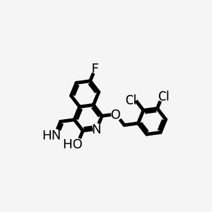 N=Cc1c(O)nc(OCc2cccc(Cl)c2Cl)c2cc(F)ccc12